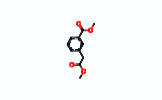 COC(=O)Cc1cccc(C(=O)OC)c1